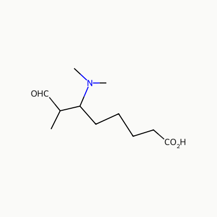 CC(C=O)C(CCCCC(=O)O)N(C)C